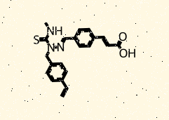 C=Cc1ccc(CN(N=Cc2ccc(C=CC(=O)O)cc2)C(=S)NC)cc1